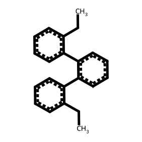 CCc1ccccc1-c1[c]cccc1-c1ccccc1CC